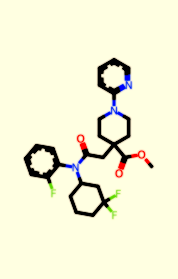 COC(=O)C1(CC(=O)N(c2ccccc2F)C2CCCC(F)(F)C2)CCN(c2ccccn2)CC1